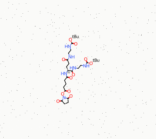 CC(C)(C)OC(=O)NCCNC(=O)CC[C@H](NC(=O)CCCC(=O)ON1C(=O)CCC1=O)C(=O)NCCNC(=O)OC(C)(C)C